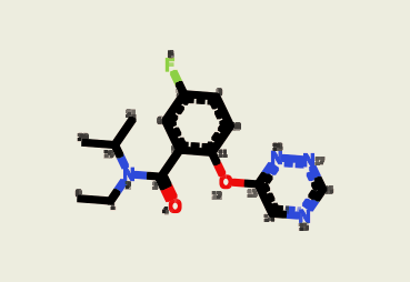 CCN(C(=O)c1cc(F)ccc1Oc1cncnn1)C(C)C